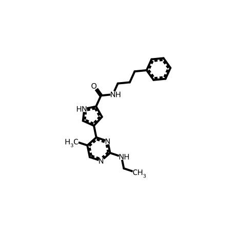 CCNc1ncc(C)c(-c2c[nH]c(C(=O)NCCCc3ccccc3)c2)n1